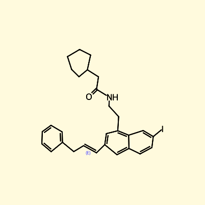 O=C(CC1CCCCC1)NCCc1cc(/C=C/Cc2ccccc2)cc2ccc(I)cc12